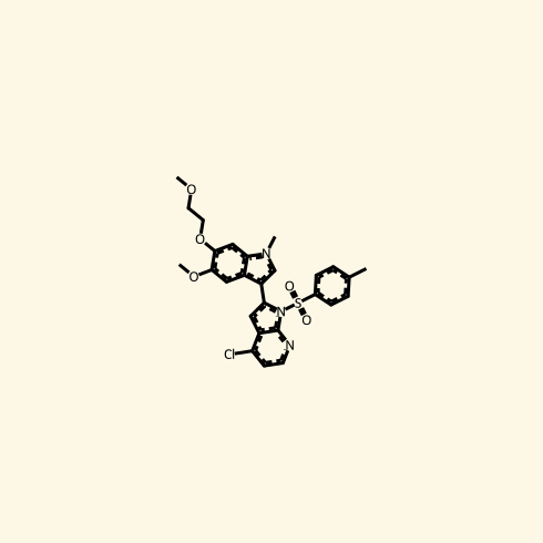 COCCOc1cc2c(cc1OC)c(-c1cc3c(Cl)ccnc3n1S(=O)(=O)c1ccc(C)cc1)cn2C